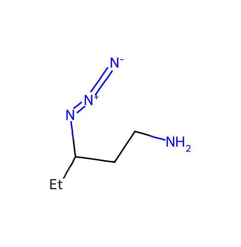 CCC(CCN)N=[N+]=[N-]